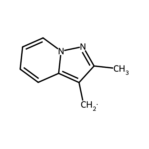 [CH2]c1c(C)nn2ccccc12